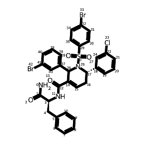 NC(=O)[C@H](Cc1ccccc1)NC(=O)C1=CC[C@@H](c2cccc(Cl)c2)N(S(=O)(=O)c2ccc(Br)cc2)C1c1cccc(Br)c1